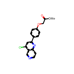 COC(=O)COc1ccc(-c2cc(Cl)c3cnccc3n2)cc1